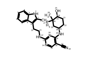 Cc1[nH]c2ccccc2c1CCNc1ncc(C#N)c(N[C@@H]2CC[C@H](O)C(C)(C)C2)n1